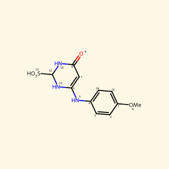 COc1ccc(NC2=CC(=O)NC(S(=O)(=O)O)N2)cc1